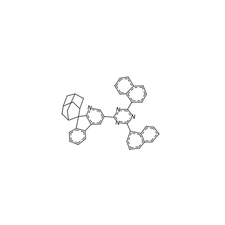 c1ccc2c(c1)-c1cc(-c3nc(-c4cccc5ccccc45)nc(-c4cccc5ccccc45)n3)cnc1C21C2CC3CC(C2)CC1C3